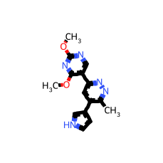 COc1ncc(-c2cc(-c3cc[nH]c3)c(C)nn2)c(OC)n1